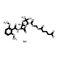 COc1cccc(OC)c1C(=O)N[C@@H]1C(=O)N2[C@@H]1SC(C)(C)[C@@H]2C(=O)OCOC(=O)CCCC(=O)[O-].[Na+]